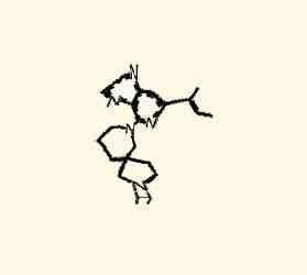 C/C=C(\C)c1cc2nccnc2c(N2CCCC3(CCNC3)C2)n1